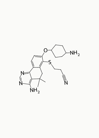 CC1(C)Cc2c(ccc(OC3CCC(N)CC3)c2SCCC#N)-c2ncnc(N)c21